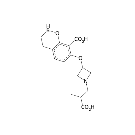 CC(CN1CC(Oc2ccc3c(c2C(=O)O)OBCC3)C1)C(=O)O